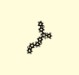 CN1C(c2ccc3c(c2)oc2ccc(-c4ccc5oc6ccccc6c5c4)cc23)N=C(c2ccc3c(c2)oc2ccccc23)NC1c1ccccc1